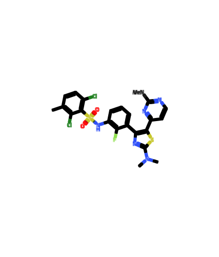 CNc1nccc(-c2sc(N(C)C)nc2-c2cccc(NS(=O)(=O)c3c(Cl)ccc(C)c3Cl)c2F)n1